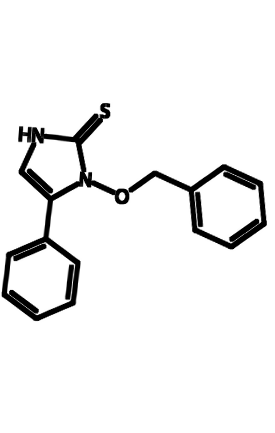 S=c1[nH]cc(-c2ccccc2)n1OCc1ccccc1